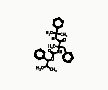 CC(C)C(OC(=O)NC(C)(Cc1ccccc1)C(=O)NC(C)(C)c1ccccc1)c1ccccc1